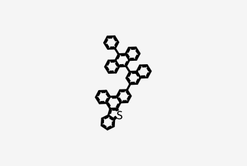 c1ccc(-c2c3ccccc3c(-c3cc(-c4ccc5c(c4)c4ccccc4c4c6ccccc6sc54)cc4ccccc34)c3ccccc23)cc1